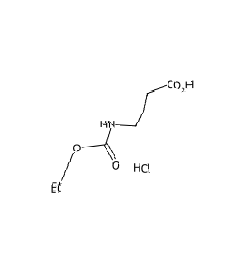 CCOC(=O)NCCC(=O)O.Cl